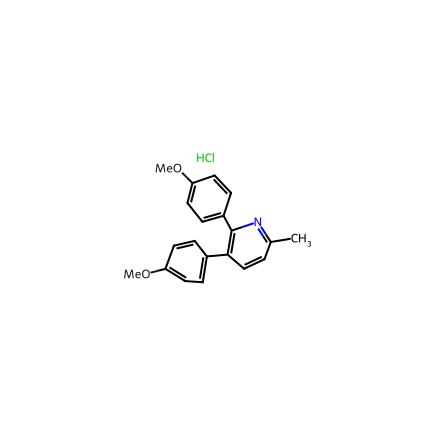 COc1ccc(-c2ccc(C)nc2-c2ccc(OC)cc2)cc1.Cl